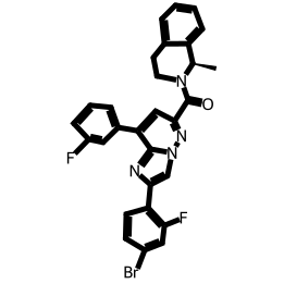 C[C@@H]1c2ccccc2CCN1C(=O)c1cc(-c2cccc(F)c2)c2nc(-c3ccc(Br)cc3F)cn2n1